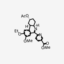 CCOc1cc2c(cc1OC)C(c1ccc(C(=O)OC)cn1)=N[C@@H]1CC[C@@H](OC(C)=O)C[C@H]21